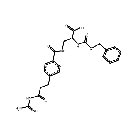 N=C(N)NC(=O)CCc1ccc(C(=O)NC[C@H](NC(=O)OCc2ccccc2)C(=O)O)cc1